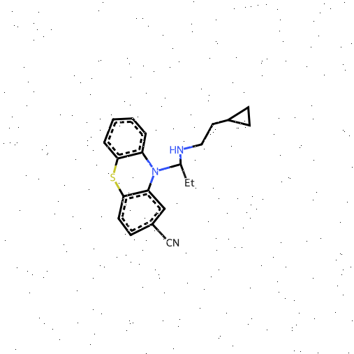 CCC(NCCC1CC1)N1c2ccccc2Sc2ccc(C#N)cc21